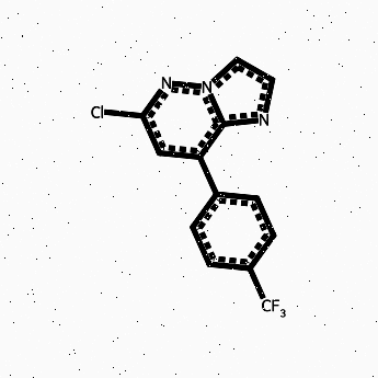 FC(F)(F)c1ccc(-c2cc(Cl)nn3ccnc23)cc1